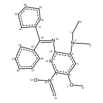 [CH2]CN(C)c1cc(OC)c([N+](=O)[O-])nc1N=C(c1ccccc1)c1ccccc1